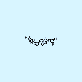 Cc1nnc(-c2cccc(N3CCC(O)(C(=O)NCc4cc(F)cc(Cl)c4)C3=O)c2)o1